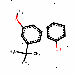 COc1cccc(C(C)(C)C)c1.Oc1ccccc1